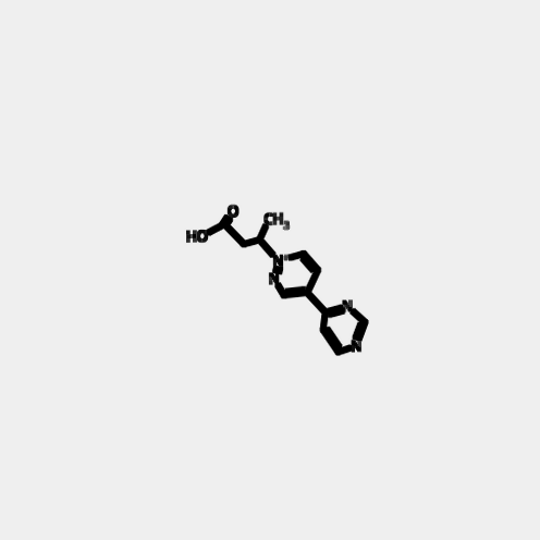 CC(CC(=O)O)[n+]1ccc(-c2ccncn2)cn1